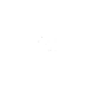 CC(O)CC1CCCCN1